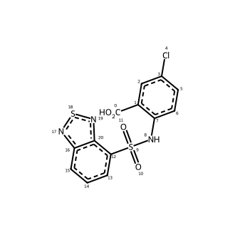 O=C(O)c1cc(Cl)ccc1NS(=O)(=O)c1cccc2nsnc12